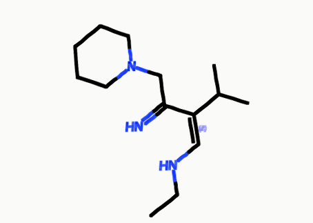 CCN/C=C(\C(=N)CN1CCCCC1)C(C)C